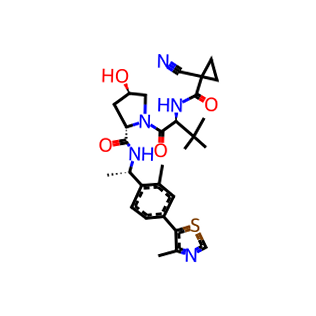 Cc1cc(-c2scnc2C)ccc1[C@H](C)NC(=O)[C@@H]1C[C@@H](O)CN1C(=O)[C@@H](NC(=O)C1(C#N)CC1)C(C)(C)C